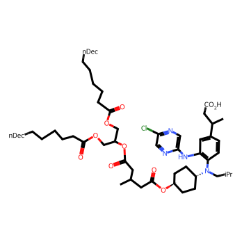 CCCCCCCCCCCCCCCC(=O)OCC(COC(=O)CCCCCCCCCCCCCCC)OC(=O)CC(C)CC(=O)O[C@H]1CC[C@H](N(CC(C)C)c2ccc(C(C)CC(=O)O)cc2Nc2cnc(Cl)cn2)CC1